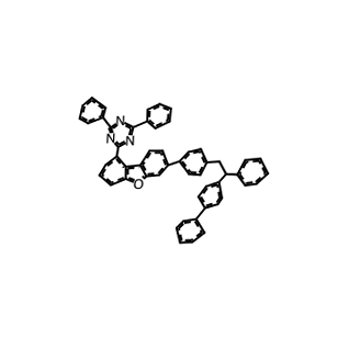 c1ccc(-c2ccc(C(Cc3ccc(-c4ccc5c(c4)oc4cccc(-c6nc(-c7ccccc7)nc(-c7ccccc7)n6)c45)cc3)c3ccccc3)cc2)cc1